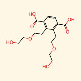 O=C(O)c1ccc(C(=O)O)c(CCOCCO)c1CCOCCO